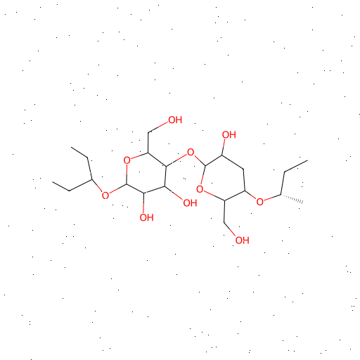 CCC(CC)OC1OC(CO)C(OC2OC(CO)C(O[C@@H](C)CC)CC2O)C(O)C1O